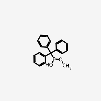 COP(O)C(c1ccccc1)(c1ccccc1)c1ccccc1